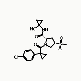 CS(=O)(=O)[C@@H]1C[C@@H](C(=O)NC2(C#N)CC2)N(C(=O)C2(c3ccc(Cl)cc3)CC2)C1